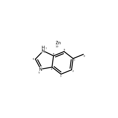 Cc1ccc2nc[nH]c2c1.[Zn]